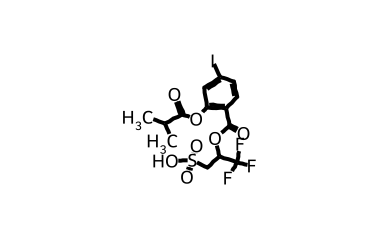 CC(C)C(=O)Oc1cc(I)ccc1C(=O)OC(CS(=O)(=O)O)C(F)(F)F